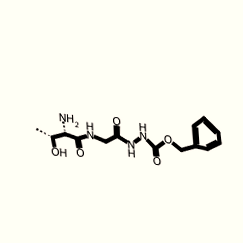 C[C@@H](O)[C@H](N)C(=O)NCC(=O)NNC(=O)OCc1ccccc1